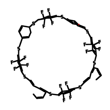 C\C=C/C1=C\C=C\Sc2c(F)c(F)c(c(F)c2F)SC2=CCC(C=C2)SC2C(F)=C(F)C(=C(F)C2F)Sc2ccc(cc2)Sc2c(F)c(F)c(c(F)c2F)SC(/C=C\C)=C/C=C/Sc2c(F)c(F)c(c(F)c2F)S1